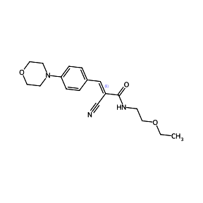 CCOCCNC(=O)/C(C#N)=C/c1ccc(N2CCOCC2)cc1